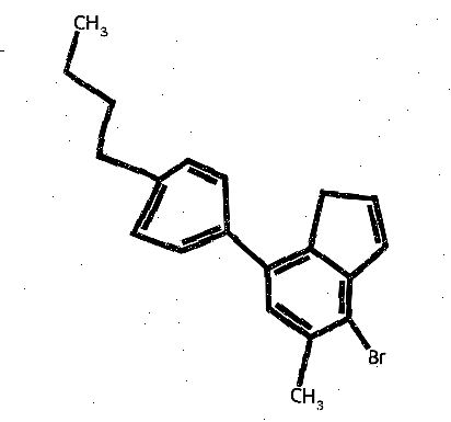 CCCCc1ccc(-c2cc(C)c(Br)c3c2CC=C3)cc1